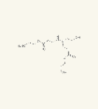 CCCCCCCCCCCCOC(=O)CCNN(CCO)CCC(=O)OCCCCCCCCCCCC